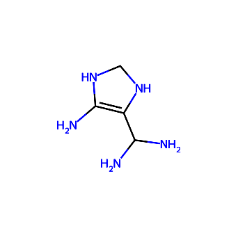 NC1=C(C(N)N)NCN1